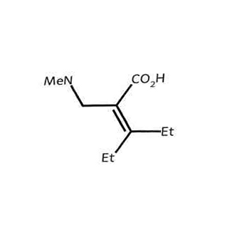 CCC(CC)=C(CNC)C(=O)O